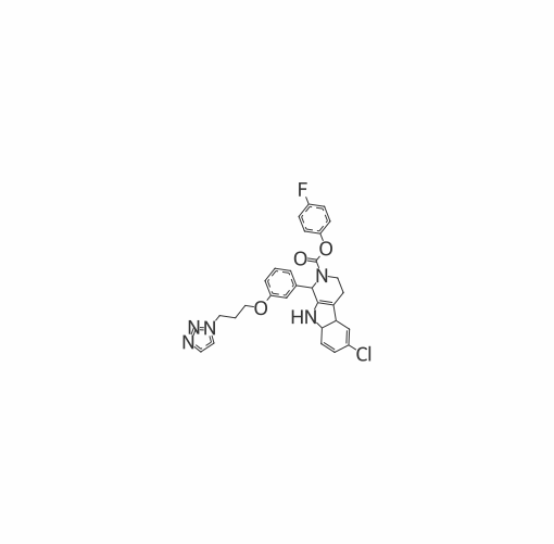 O=C(Oc1ccc(F)cc1)N1CCC2=C(NC3C=CC(Cl)=CC23)C1c1cccc(OCCCn2ccnn2)c1